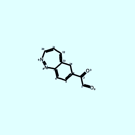 O=CC(=O)C1=CC=C2N=NC=CC=C2C1